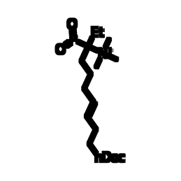 CCCCCCCCCCCCC=CCCCC(CC)(P(=O)=O)[N+](C)(C)C